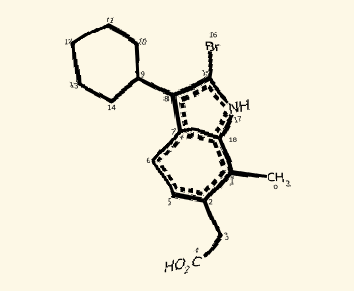 Cc1c(CC(=O)O)ccc2c(C3CCCCC3)c(Br)[nH]c12